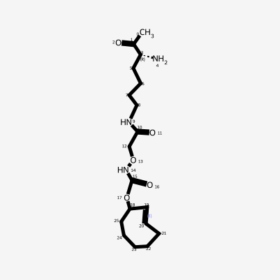 CC(=O)[C@H](N)CCCCNC(=O)CONC(=O)OC1/C=C/CCCCC1